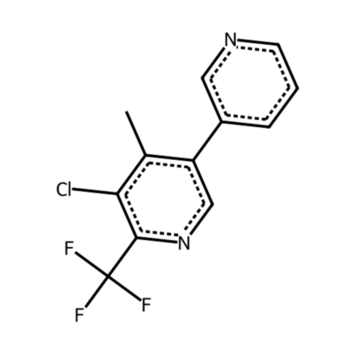 Cc1c(-c2cccnc2)cnc(C(F)(F)F)c1Cl